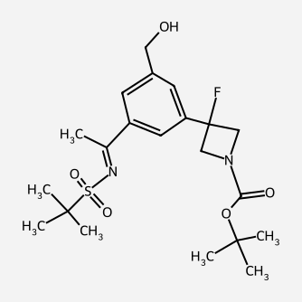 CC(=NS(=O)(=O)C(C)(C)C)c1cc(CO)cc(C2(F)CN(C(=O)OC(C)(C)C)C2)c1